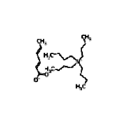 C/C=C/C=C/C(=O)[O-].CCCC[N+](CCCC)(CCCC)CCCC